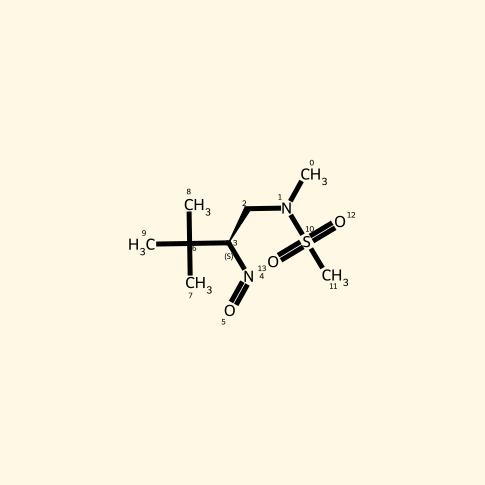 CN(C[C@@H](N=O)C(C)(C)C)S(C)(=O)=O